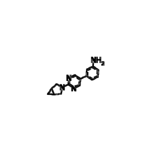 Nc1cccc(-c2cnc(N3CC4CC4C3)nc2)c1